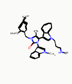 COc1ccc(Cn2c(C#N)c(-c3cn(CCCNC(C)C)c4ccccc34)n(-c3cn(C)c4ccccc34)c2=O)c(OC)c1